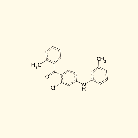 Cc1cccc(Nc2ccc(C(=O)c3ccccc3C)c(Cl)c2)c1